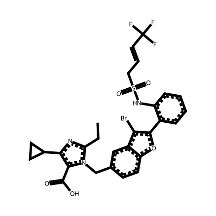 CCc1nc(C2CC2)c(C(=O)O)n1Cc1ccc2oc(-c3ccccc3NS(=O)(=O)CC=CC(F)(F)F)c(Br)c2c1